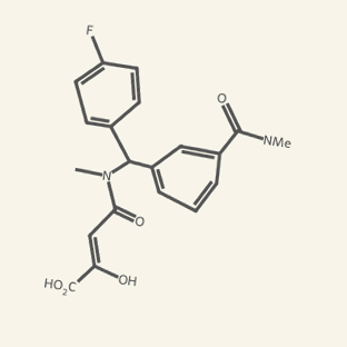 CNC(=O)c1cccc(C(c2ccc(F)cc2)N(C)C(=O)C=C(O)C(=O)O)c1